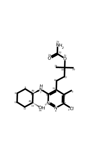 Cc1c(Cl)nnc(N[C@@H]2CCCC[C@H]2O)c1CCC(C)(C)OC(N)=O